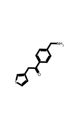 NCc1ccc(C(=O)Cc2ccsc2)cc1